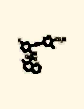 Cc1cc(C#Cc2cc(F)ccc2NS(=O)(=O)c2c(C)ccc3cccnc23)cnc1C(=O)O